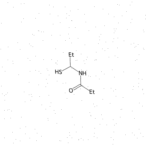 CCC(=O)NC(S)CC